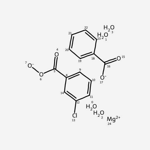 O.O.O.O.O=C(O[O-])c1cccc(Cl)c1.O=C([O-])c1ccccc1.[Mg+2]